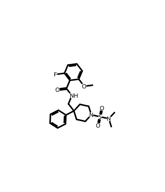 COc1cccc(F)c1C(=O)NCC1(c2ccccc2)CCN(S(=O)(=O)N(C)C)CC1